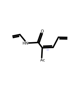 C=C/C=C(/C(C)=O)C(=O)NC=C